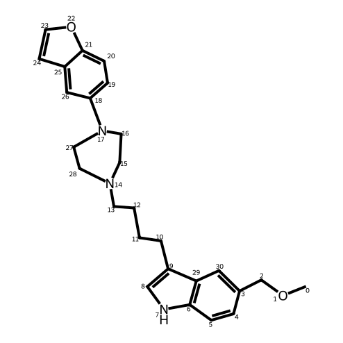 COCc1ccc2[nH]cc(CCCCN3CCN(c4ccc5occc5c4)CC3)c2c1